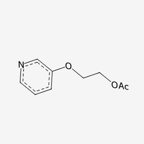 CC(=O)OCCOc1cccnc1